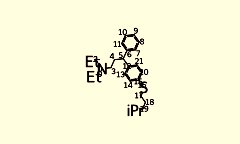 CCN(CC)CCC(c1ccccc1)c1ccc(SCCC(C)C)cc1